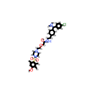 COc1cc(C)c(S(=O)(=O)N2CCN(CCOCC(=O)NCCC3CCC(C(c4ccc(Cl)cc4)N(C)C)CC3)CC2)c(C)c1C